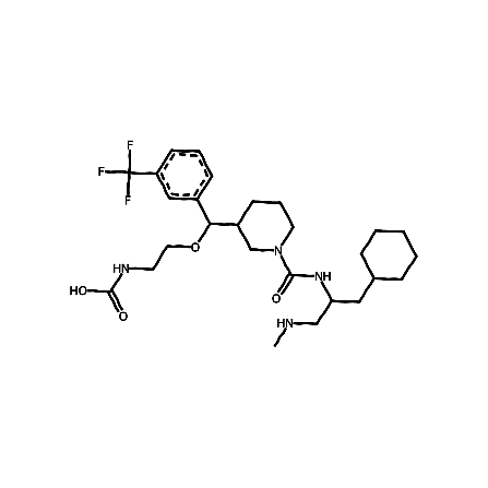 CNCC(CC1CCCCC1)NC(=O)N1CCCC(C(OCCNC(=O)O)c2cccc(C(F)(F)F)c2)C1